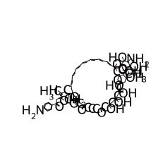 CC1/C=C/C=C/C=C/C=C/C=C/C=C/C=C/C(OC2O[C@H](C)[C@@H](O)[C@H](N)[C@@H]2O)CC2OC(O)(CC(O)CC(O)CC(O)CC(=O)CCCC(=O)CC(=O)OC1C(C)CC(C)C(O)CC(=O)c1ccc(N)cc1)CC(O)C2C(=O)O